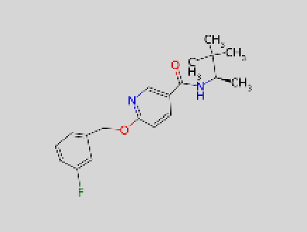 C[C@@H](NC(=O)c1ccc(OCc2cccc(F)c2)nc1)C(C)(C)C